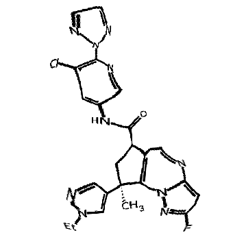 CCn1cc([C@@]2(C)C[C@@H](C(=O)Nc3cnc(-n4nccn4)c(Cl)c3)c3cnc4cc(F)nn4c32)cn1